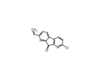 C=Cc1ccc2c(n1)C(=O)c1nc(Cl)ccc1-2